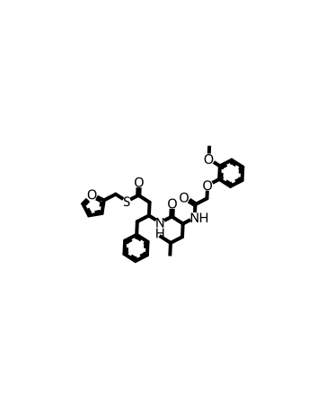 COc1ccccc1OCC(=O)NC(CC(C)C)C(=O)NC(CC(=O)SCc1ccco1)Cc1ccccc1